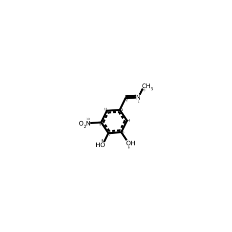 C/N=C/c1cc(O)c(O)c([N+](=O)[O-])c1